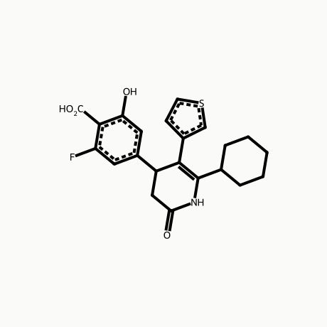 O=C1CC(c2cc(O)c(C(=O)O)c(F)c2)C(c2ccsc2)=C(C2CCCCC2)N1